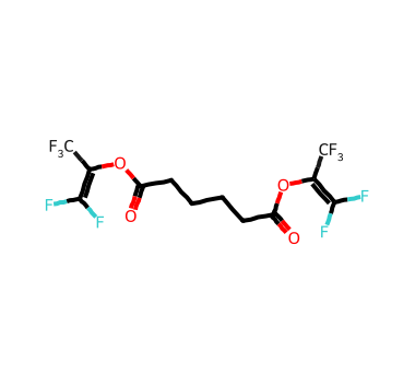 O=C(CCCCC(=O)OC(=C(F)F)C(F)(F)F)OC(=C(F)F)C(F)(F)F